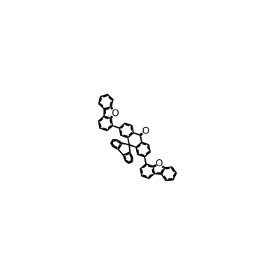 O=C1c2ccc(-c3cccc4c3oc3ccccc34)cc2C2(c3cc(-c4cccc5c4oc4ccccc45)ccc31)c1ccccc1-c1ccccc12